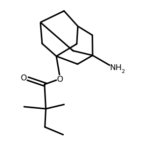 CCC(C)(C)C(=O)OC12CC3CC(CC(N)(C3)C1)C2